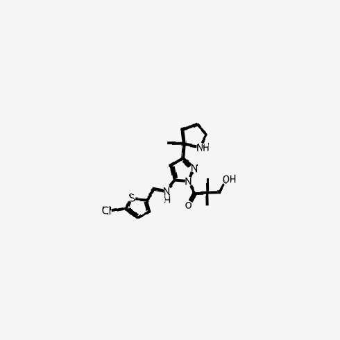 CC(C)(CO)C(=O)n1nc(C2(C)CCCN2)cc1NCc1ccc(Cl)s1